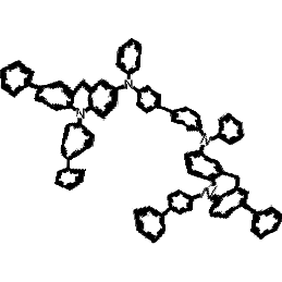 c1ccc(-c2ccc(N3c4ccc(-c5ccccc5)cc4Cc4cc(N(c5ccccc5)c5ccc(-c6ccc(N(c7ccccc7)c7ccc8c(c7)Cc7cc(-c9ccccc9)ccc7N8c7ccc(-c8ccccc8)cc7)cc6)cc5)ccc43)cc2)cc1